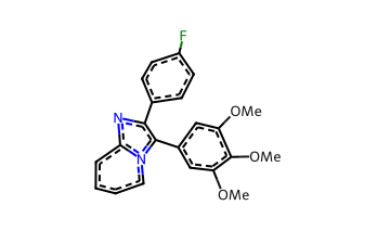 COc1cc(-c2c(-c3ccc(F)cc3)nc3ccccn23)cc(OC)c1OC